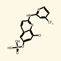 O=P(O)(O)Oc1cc(Cl)c2nc(Nc3cc(C(F)(F)F)ccn3)ccc2c1